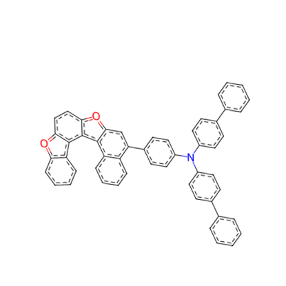 c1ccc(-c2ccc(N(c3ccc(-c4ccccc4)cc3)c3ccc(-c4cc5oc6ccc7oc8ccccc8c7c6c5c5ccccc45)cc3)cc2)cc1